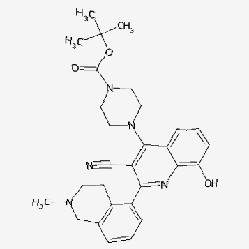 CN1CCc2c(cccc2-c2nc3c(O)cccc3c(N3CCN(C(=O)OC(C)(C)C)CC3)c2C#N)C1